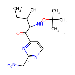 CCC(C)C(NOC(C)(C)C)C(=O)c1ccnc(CN)n1